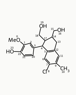 COc1cc(C2c3cc(Cl)c(C)cc3CC(CO)C2CO)ccc1O